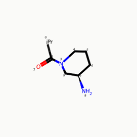 CC(C)C(=O)N1CCC[C@@H](N)C1